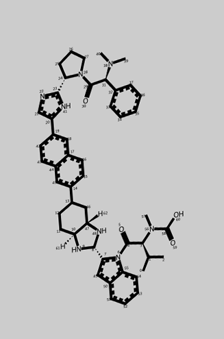 CC(C)[C@@H](C(=O)n1c([C@@H]2N[C@H]3CCC(c4ccc5cc(-c6cnc([C@@H]7CCCN7C(=O)[C@H](c7ccccc7)N(C)C)[nH]6)ccc5c4)C[C@@H]3N2)cc2ccccc21)N(C)C(=O)O